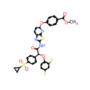 COC(=O)c1ccc(Oc2ccc3nc(NC(=O)C(Oc4ccc(F)cc4F)c4ccc(S(=O)(=O)C5CC5)cc4)sc3n2)cc1